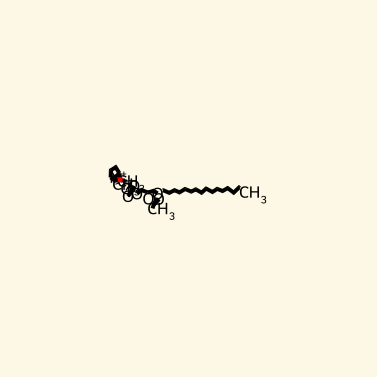 CCCCCCCCCCCCCCCCOCC(COP(=O)([O-])OCC1CC2CCC1[N+]2(C)C)OC(C)=O